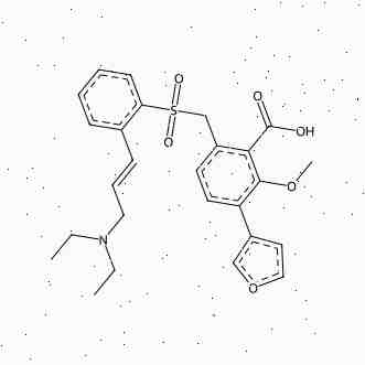 CCN(CC)C/C=C/c1ccccc1S(=O)(=O)Cc1ccc(-c2ccoc2)c(OC)c1C(=O)O